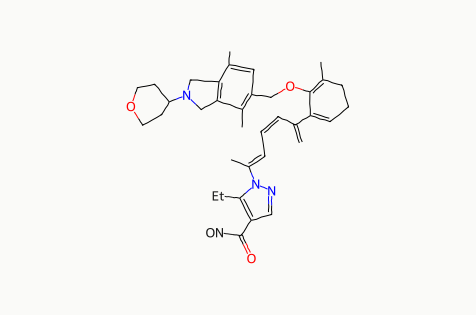 C=C(/C=C\C=C(/C)n1ncc(C(=O)N=O)c1CC)C1=CCCC(C)=C1OCc1cc(C)c2c(c1C)CN(C1CCOCC1)C2